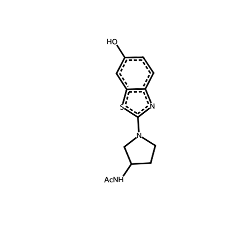 CC(=O)NC1CCN(c2nc3ccc(O)cc3s2)C1